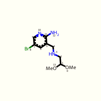 COC(CNCc1cc(Br)cnc1N)OC